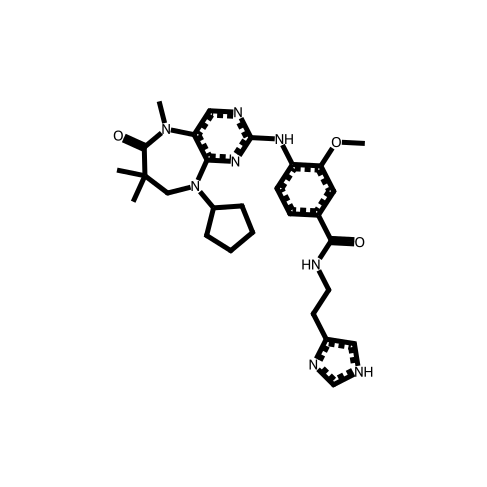 COc1cc(C(=O)NCCc2c[nH]cn2)ccc1Nc1ncc2c(n1)N(C1CCCC1)CC(C)(C)C(=O)N2C